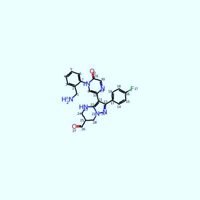 NCc1ccccc1-n1cc(-c2c(-c3ccc(F)cc3)nn3c2NCC(C=O)C3)ncc1=O